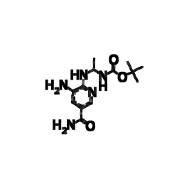 CC(NC(=O)OC(C)(C)C)Nc1ncc(C(N)=O)cc1N